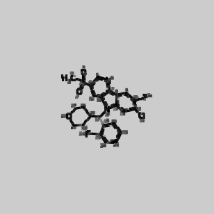 CS(=O)(=O)c1cnc2c3cc(F)c(Cl)cc3n([C@H](c3ccccc3F)C3CCOCC3)c2c1